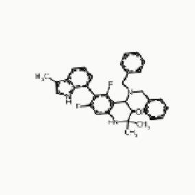 Cc1c[nH]c2c(-c3c(F)cc4c(c3F)C(N(Cc3ccccc3)Cc3ccccc3)C(O)C(C)(C)N4)cccc12